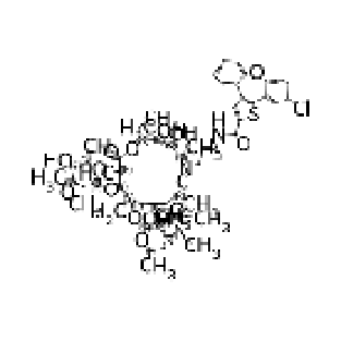 CC[C@H]1OC(=O)[C@H](C)[C@@H](O[C@H]2C[C@@](C)(OC)[C@@H](O)[C@H](C)O2)[C@H](C)[C@@H](O[C@@H]2O[C@H](C)C[C@H](N(C)C(C)=O)[C@H]2O)[C@](C)(O)C[C@@H](C)CN(CCCNC(=O)c2cc3c(s2)-c2cc(Cl)ccc2Oc2ccccc2-3)[C@H](C)[C@@H](O)[C@]1(C)O